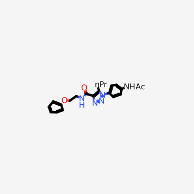 CCCc1c(C(=O)NCCOc2ccccc2)nnn1-c1ccc(NC(C)=O)cc1